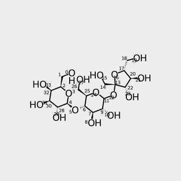 OC[C@H]1O[C@@H](O[C@H]2[C@H](O)[C@@H](O)C(O[C@]3(CO)O[C@H](CO)[C@@H](O)[C@@H]3O)O[C@@H]2CO)[C@H](O)[C@@H](O)[C@H]1O